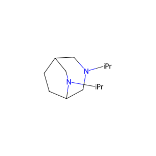 CC(C)N1CC2CCC(C1)N(C(C)C)C2